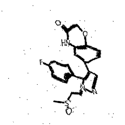 C[S+]([O-])CCn1ncc(-c2ccc3c(c2)NC(=O)CO3)c1-c1ccc(F)cc1